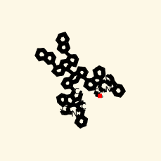 c1ccc2c(c1)-c1c(-c3cccc4c(-c5c6cccc(-c7ccc8ccccc8c7)c6cc6c(-c7ccc8ccccc8c7)cccc56)c5cccc(-c6cccc7c6-c6ccccc6C76c7ccccc7-n7c8ccccc8c8cccc6c87)c5cc34)cccc1C21c2ccccc2-n2c3ccccc3c3cccc1c32